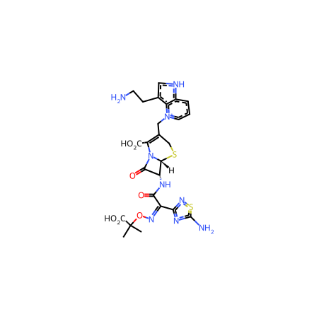 CC(C)(O/N=C(\C(=O)N[C@@H]1C(=O)N2C(C(=O)O)=C(C[n+]3cccc4[nH]cc(CCN)c43)CS[C@H]12)c1nsc(N)n1)C(=O)O